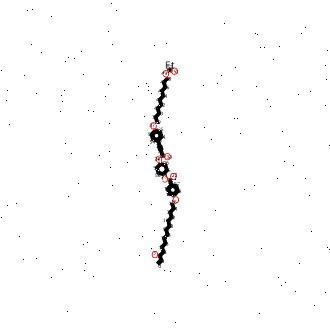 C=CC(=O)CCCCCCCCCCCCOc1ccc(C(=O)OC2CCC(OC(=O)C#Cc3ccc(OCCCCCCCCCCCOC(=O)CC)cc3)CC2)cc1